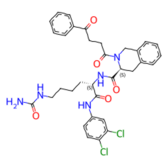 NC(=O)NCCCC[C@H](NC(=O)[C@@H]1Cc2ccccc2CN1C(=O)CCC(=O)c1ccccc1)C(=O)Nc1ccc(Cl)c(Cl)c1